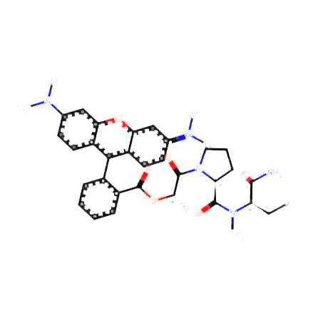 CCN(CC)c1ccc2c(-c3ccccc3C(=O)O[C@@H](C)C(=O)N3CCC[C@H]3C(=O)N(C)[C@H](CC(C)C)C(N)=O)c3ccc(=[N+](CC)CC)cc-3oc2c1